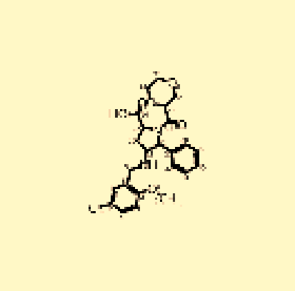 COc1ccc(Cl)cc1CNC1CC(C(=O)O)N(C(=O)C2COCCO2)C1c1ccccc1